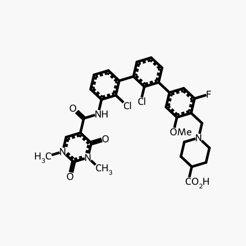 COc1cc(-c2cccc(-c3cccc(NC(=O)c4cn(C)c(=O)n(C)c4=O)c3Cl)c2Cl)cc(F)c1CN1CCC(C(=O)O)CC1